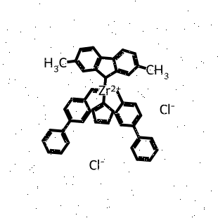 Cc1ccc2c(c1)[CH]([Zr+2](=[CH]c1ccc(-c3ccccc3)cc1)(=[CH]c1ccc(-c3ccccc3)cc1)[C]1=CC=CC1)c1cc(C)ccc1-2.[Cl-].[Cl-]